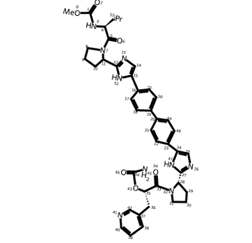 COC(=O)N[C@H](C(=O)N1CCCC1c1ncc(-c2ccc(-c3ccc(-c4cnc([C@@H]5CCCN5C(=O)[C@H](Cc5cccnc5)OC(N)=O)[nH]4)cc3)cc2)[nH]1)C(C)C